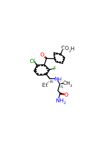 CC[C@@H](N[C@@H](C)CC(N)=O)c1ccc(Cl)c(C(=O)c2cccc(C(=O)O)c2)c1F